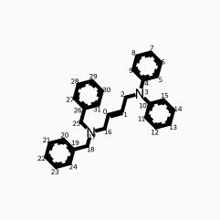 C(=CCN(c1ccccc1)c1ccccc1)CN(Cc1ccccc1)Cc1ccccc1